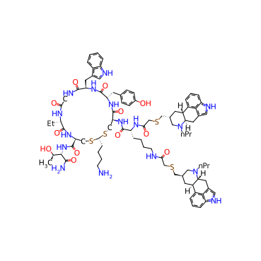 CCCN1C[C@H](CSCC(=O)NCCCC[C@@H](NC(=O)CSC[C@@H]2C[C@@H]3c4cccc5[nH]cc(c45)C[C@H]3N(CCC)C2)C(=O)N[C@H]2CS[C@H](CCCCN)SC[C@@H](C(=O)N[C@H](C(N)=O)[C@@H](C)O)NC(=O)[C@H](CC)NC(=O)CNC(=O)[C@@H](Cc3c[nH]c4ccccc34)NC(=O)[C@H](Cc3ccc(O)cc3)NC2=O)C[C@@H]2c3cccc4[nH]cc(c34)C[C@H]21